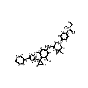 CCS(=O)(=O)c1ccc(N(CC(=O)Nc2cc(C)c(C3(c4noc(-c5cccnc5)n4)CC3)c(C)c2)CC(F)(F)F)cc1